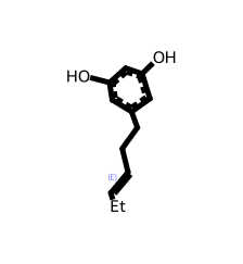 CC/C=C/CCc1cc(O)cc(O)c1